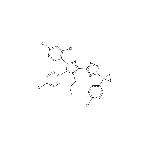 CCCc1c(-c2nnc(C3(c4ccc(Cl)cc4)CC3)s2)nc(-c2ccc(Cl)cc2Cl)n1-c1ccc(Cl)cc1